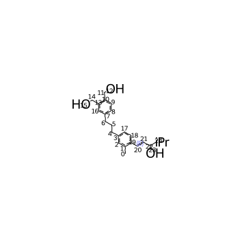 Cc1cc(CCCc2ccc(CO)c(CO)c2)ccc1/C=C/C(O)C(C)C